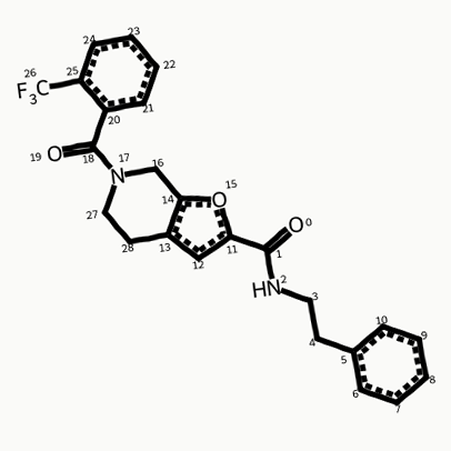 O=C(NCCc1ccccc1)c1cc2c(o1)CN(C(=O)c1ccccc1C(F)(F)F)CC2